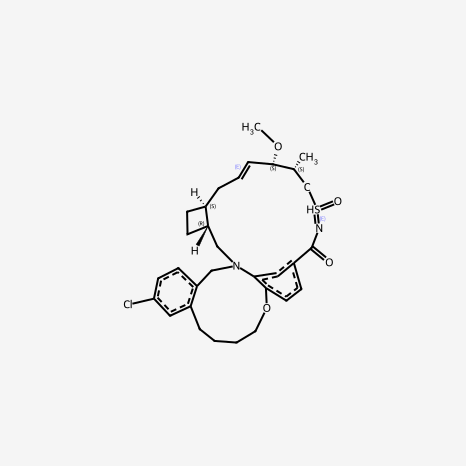 CO[C@H]1/C=C/C[C@@H]2CC[C@H]2CN2Cc3ccc(Cl)cc3CCCCOc3ccc(cc32)C(=O)/N=[SH](=O)\C[C@H]1C